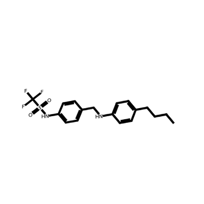 CCCCc1ccc(NCc2ccc(NS(=O)(=O)C(F)(F)F)cc2)cc1